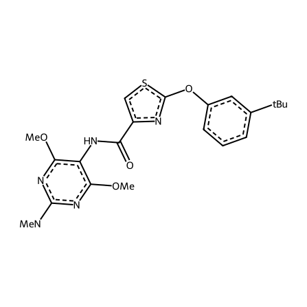 CNc1nc(OC)c(NC(=O)c2csc(Oc3cccc(C(C)(C)C)c3)n2)c(OC)n1